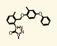 Cc1cc(Oc2ccccc2)ccc1OCc1c(C)cccc1-n1nnn(C)c1=O